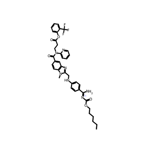 CCCCCCOC(=O)/N=C(\N)c1ccc(NCc2nc3cc(C(=O)N(CCC(=O)Oc4ccccc4C(F)(F)F)c4ccccn4)ccc3n2C)cc1